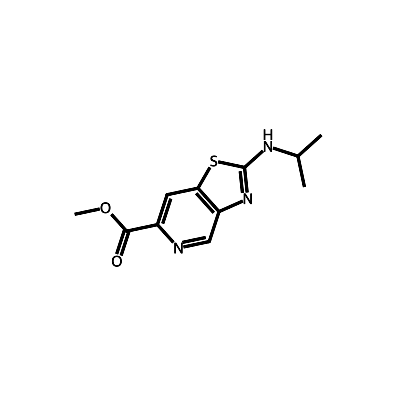 COC(=O)c1cc2sc(NC(C)C)nc2cn1